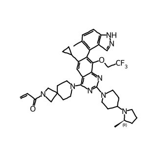 C=CC(=O)N1CC2(CCN(c3nc(N4CCC(N5CCC[C@H]5C)CC4)nc4c(OCC(F)(F)F)c(-c5c(C)ccc6[nH]ncc56)c(C5CC5)cc34)CC2)C1